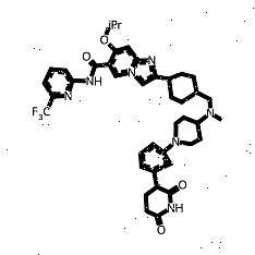 CC(C)Oc1cc2nc(C3CCC(CN(C)C4CCN(c5cccc(C6CCC(=O)NC6=O)c5)CC4)CC3)cn2cc1C(=O)Nc1cccc(C(F)(F)F)n1